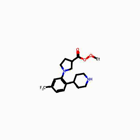 CCOOC(=O)C1CCN(c2cc(C(F)(F)F)ccc2C2CCNCC2)C1